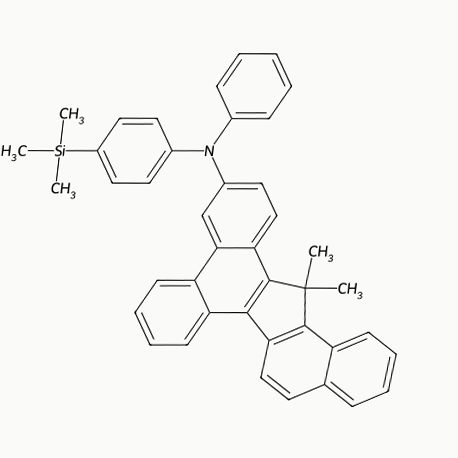 CC1(C)c2c(ccc3ccccc23)-c2c1c1ccc(N(c3ccccc3)c3ccc([Si](C)(C)C)cc3)cc1c1ccccc21